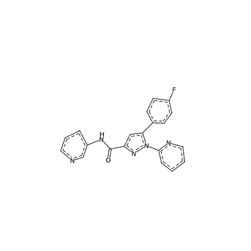 O=C(Nc1cccnc1)c1cc(-c2ccc(F)cc2)n(-c2ccccn2)n1